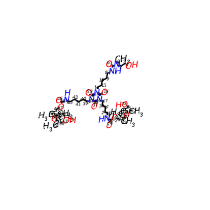 CN(CCO)C(=O)NCCCCCn1c(=O)n(CCCCCNC(=O)OC[Si](C)(C)O[Si](C)(C)CO)c(=O)n(CCCCCNC(=O)OC[Si](C)(C)O[Si](C)(C)CO)c1=O